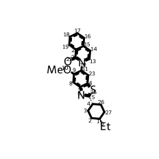 CC[C@H]1CC[C@H](c2nc3cc(OC)c(-n4ccc5ccccc5c4=O)cc3s2)CC1